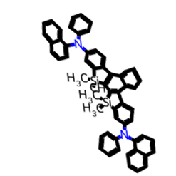 C[Si]1(C)c2cc(N(c3ccccc3)c3cccc4ccccc34)ccc2-c2c1c1c(c3ccccc23)-c2ccc(N(c3ccccc3)c3cccc4ccccc34)cc2[Si]1(C)C